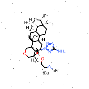 CCCN[C@@H](CO[C@H]1[C@H](n2nnc(N)n2)C[C@@]23COC[C@]1(C)[C@@H]2CC[C@H]1C3=CC[C@@]2(C)[C@H](C(=O)O)[C@@](C)([C@H](C)C(C)C)CC[C@]12C)C(C)(C)C